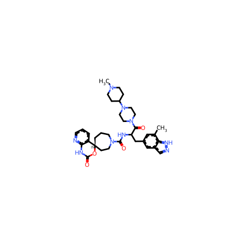 Cc1cc(CC(NC(=O)N2CCC[C@@]3(CC2)OC(=O)Nc2ncccc23)C(=O)N2CCN(C3CCN(C)CC3)CC2)cc2cn[nH]c12